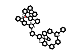 CC1(C)c2ccccc2-c2ccc(-c3cc(-c4cccc(-c5ccc6c(c5)Oc5ccc(-c7cccc(-c8cccc(-c9nc(-c%10ccccc%10)cc(-c%10ccccc%10)n9)c8)c7)cc5C65c6ccccc6-c6ccccc65)c4)nc(-c4ccccc4-c4ccc5c(c4)C4(c6ccccc6O5)c5ccccc5-c5ccccc54)n3)cc21